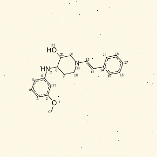 COc1cccc(NC2CCN(C=Cc3ccccc3)CC2O)c1